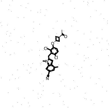 Cc1cc(C#N)cc2c1cc(Cc1c(Cl)ccc(O[C@H]3C[C@H](C(=O)I)C3)c1Cl)n2C